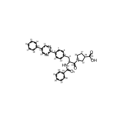 O=C(NC(Cc1ccc(-c2ncc(-c3ccccc3)cn2)cc1)C(=O)N1CCC(C(=O)O)C1)c1ccccc1